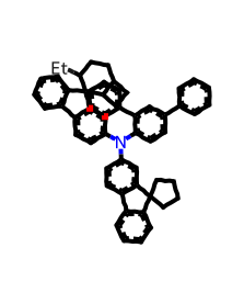 CCC1CCC2CCC2C12c1ccccc1-c1ccc(N(c3ccc4c(c3)C3(CCCC3)c3ccccc3-4)c3ccc(-c4ccccc4)cc3-c3ccccc3)cc12